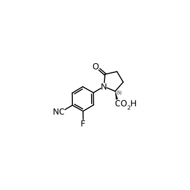 N#Cc1ccc(N2C(=O)CC[C@H]2C(=O)O)cc1F